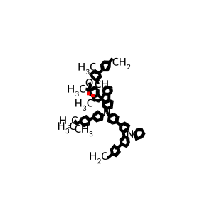 C=Cc1ccc(C2=C(C)CC(OCC(C)CCC(C)CC3(c4ccccc4)c4cc(N(c5ccc(C6=CCC(C(C)(C)C)C=C6)cc5)c5ccc(-c6ccc7c(c6)c6c(n7-c7ccccc7)=CCC(C7=CCC(C=C)C=C7)C=6)cc5)ccc4C4C=CC=CC43)C(C)=C2)cc1